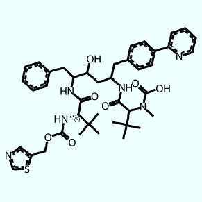 CN(C(=O)O)C(C(=O)NC(Cc1ccc(-c2ccccn2)cc1)CC(O)C(Cc1ccccc1)NC(=O)[C@@H](NC(=O)OCc1cncs1)C(C)(C)C)C(C)(C)C